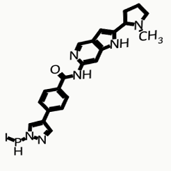 CN1CCCC1c1cc2cnc(NC(=O)c3ccc(-c4cnn(PI)c4)cc3)cc2[nH]1